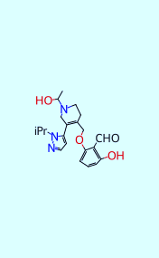 CC(O)N1CCC(COc2cccc(O)c2C=O)=C(c2ccnn2C(C)C)C1